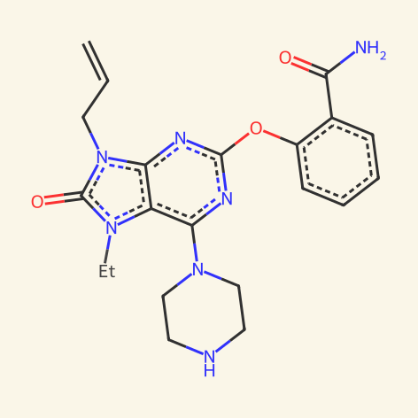 C=CCn1c(=O)n(CC)c2c(N3CCNCC3)nc(Oc3ccccc3C(N)=O)nc21